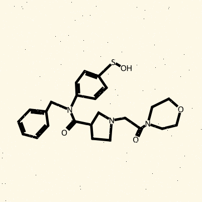 O=C(CN1CCC(C(=O)N(Cc2ccccc2)c2ccc(SO)cc2)C1)N1CCOCC1